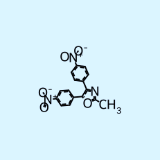 Cc1nc(-c2ccc([N+](=O)[O-])cc2)c(-c2ccc([N+](=O)[O-])cc2)o1